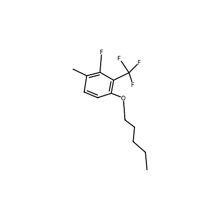 CCCCCOc1ccc(C)c(F)c1C(F)(F)F